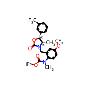 CC(C)OC(=O)N(C)c1ccc(OC(F)(F)F)cc1CN1C(=O)O[C@H](c2cccc(C(F)(F)F)c2)[C@@H]1C